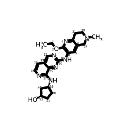 CCOc1nc2c(cc1Nc1ncc3ccnc(N[C@H]4CC[C@@H](O)C4)c3n1)CN(C)CC2